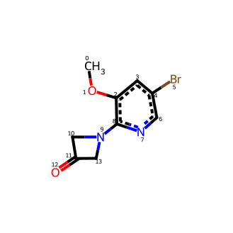 COc1cc(Br)cnc1N1CC(=O)C1